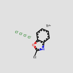 CCc1nc2ccccc2o1.[Cl-].[Cl-].[Cl-].[Cl-].[Ti+4]